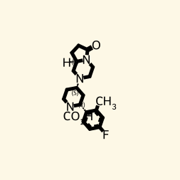 Cc1cc(F)ccc1[C@H]1C[C@@H](N2CCN3C(=O)CC[C@@H]3C2)CCN1C(=O)O